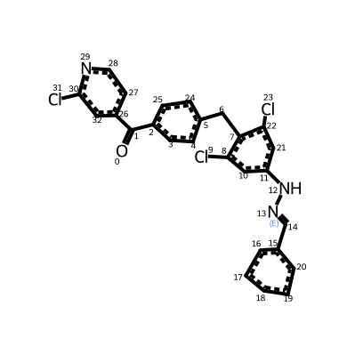 O=C(c1ccc(Cc2c(Cl)cc(N/N=C/c3ccccc3)cc2Cl)cc1)c1ccnc(Cl)c1